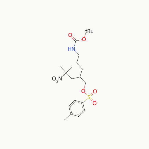 Cc1ccc(S(=O)(=O)OCC(CCCNC(=O)OC(C)(C)C)CC(C)(C)[N+](=O)[O-])cc1